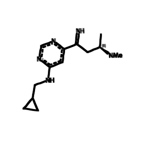 CN[C@H](C)CC(=N)c1cc(NCC2CC2)ncn1